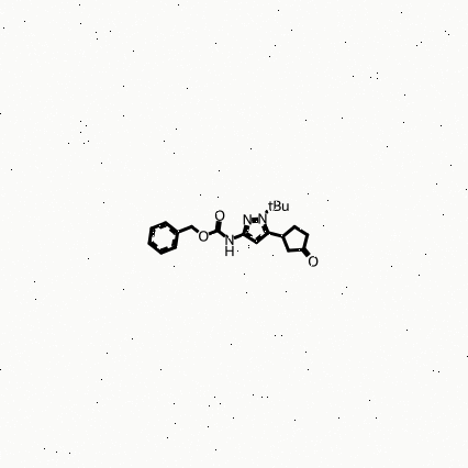 CC(C)(C)n1nc(NC(=O)OCc2ccccc2)cc1C1CCC(=O)C1